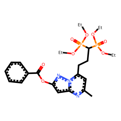 CCOP(=O)(OCC)C(CCc1cc(C)nc2cc(OC(=O)c3ccccc3)nn12)P(=O)(OCC)OCC